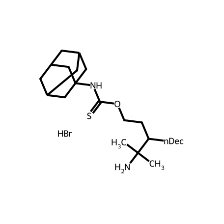 Br.CCCCCCCCCCC(CCOC(=S)NC12CC3CC(CC(C3)C1)C2)C(C)(C)N